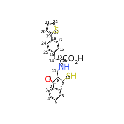 O=C(c1ccccc1)C(CS)CN[C@@H](Cc1ccc(-c2cccs2)cc1)C(=O)O